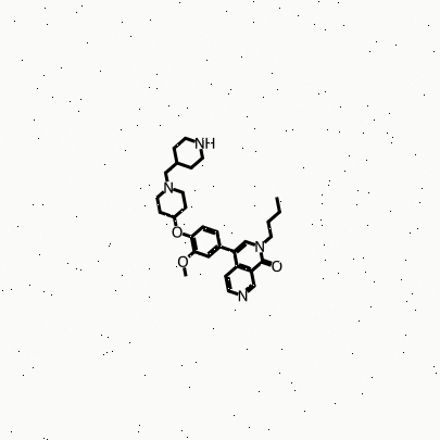 CCCCn1cc(-c2ccc(OC3CCN(CC4CCNCC4)CC3)c(OC)c2)c2ccncc2c1=O